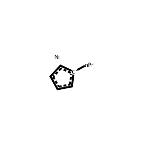 CCC[c-]1cccc1.[Ni]